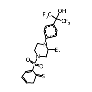 CC[C@H]1CN(S(=O)(=O)C2=CC=CCC2=S)CCN1c1ccc(C(O)(C(F)(F)F)C(F)(F)F)cc1